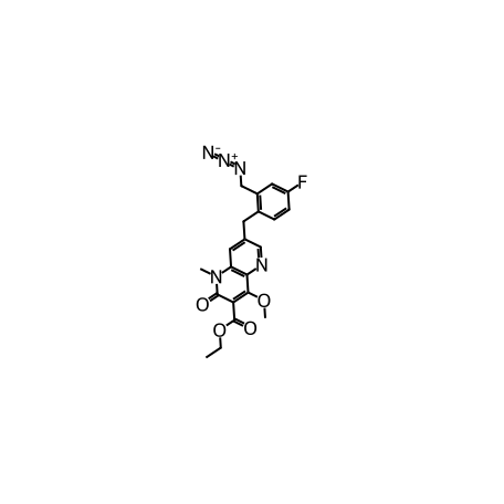 CCOC(=O)c1c(OC)c2ncc(Cc3ccc(F)cc3CN=[N+]=[N-])cc2n(C)c1=O